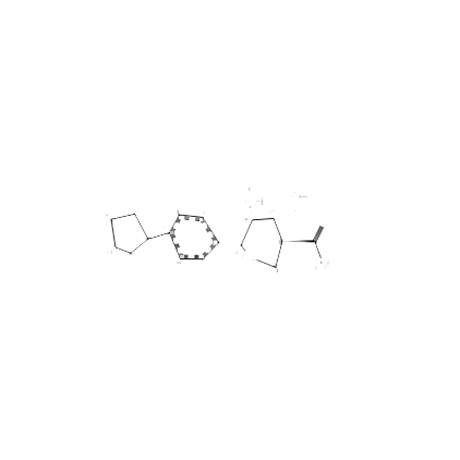 NC(=O)[C@H]1CO[C@H](c2ccc(C3CCCC3)cc2)[C@H](O)[C@@H]1O